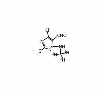 [2H]C([2H])([2H])Nc1nc(C)nc(Cl)c1C=O